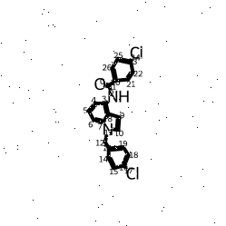 O=C(Nc1cccc2c1ccn2Cc1ccc(Cl)cc1)c1ccc(Cl)cc1